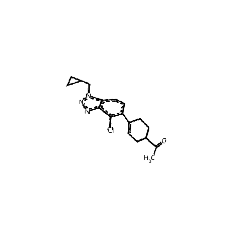 CC(=O)C1CC=C(c2ccc3c(nnn3CC3CC3)c2Cl)CC1